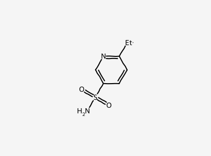 C[CH]c1ccc(S(N)(=O)=O)cn1